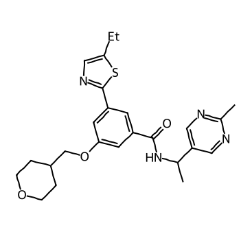 CCc1cnc(-c2cc(OCC3CCOCC3)cc(C(=O)NC(C)c3cnc(C)nc3)c2)s1